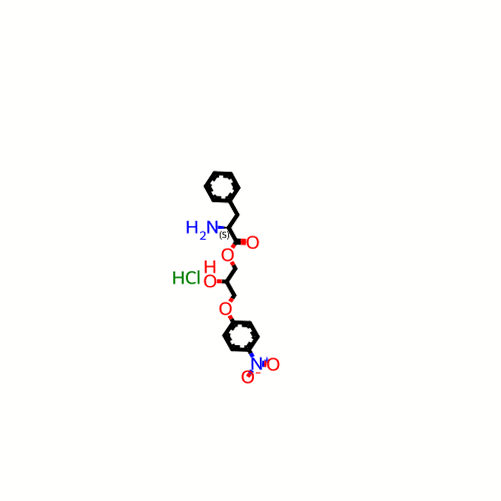 Cl.N[C@@H](Cc1ccccc1)C(=O)OCC(O)COc1ccc([N+](=O)[O-])cc1